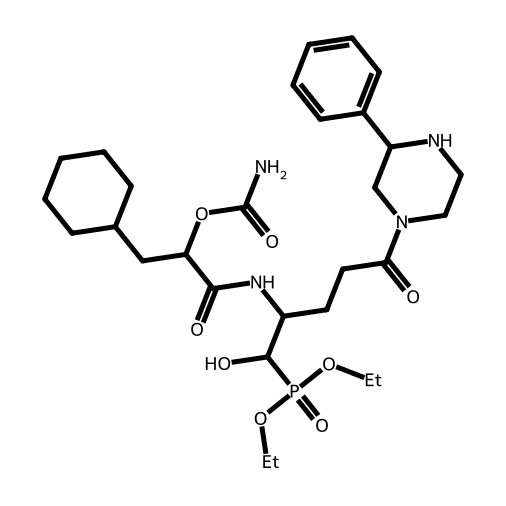 CCOP(=O)(OCC)C(O)C(CCC(=O)N1CCNC(c2ccccc2)C1)NC(=O)C(CC1CCCCC1)OC(N)=O